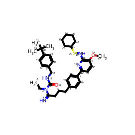 CCN(C(=N)CCCc1ccc(-c2ccc(OC)c(NSC3CCCCC3)n2)cc1)C(=O)NCc1ccc(C(C)(C)C)cc1